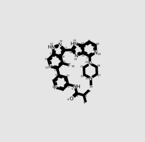 CC(C)C(=O)Nc1cncc(-c2ncc3[nH]nc(-c4nc5c(N6CCN(C)CC6)nccc5[nH]4)c3c2F)c1